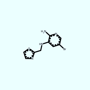 Nc1ncc(Br)cc1NCc1nccs1